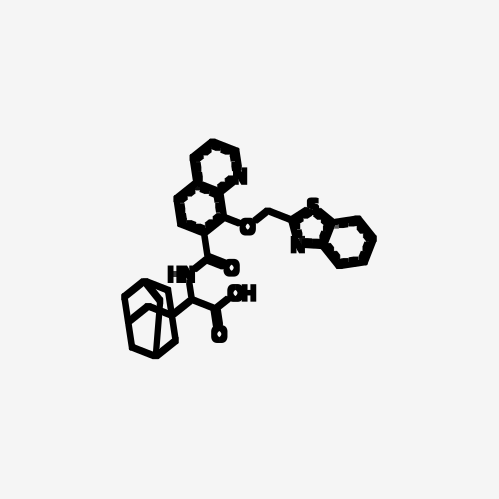 O=C(NC(C(=O)O)C12CC3CC(CC(C3)C1)C2)c1ccc2cccnc2c1OCc1nc2ccccc2s1